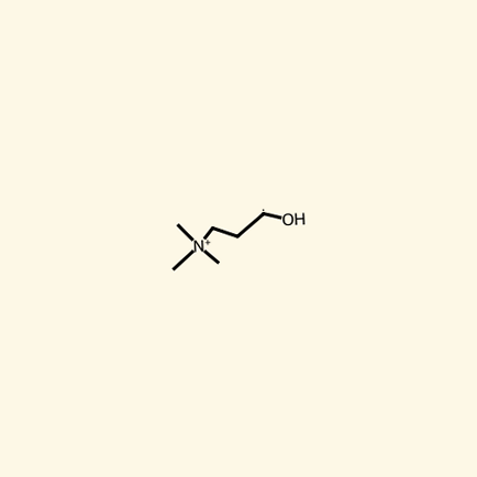 C[N+](C)(C)CC[CH]O